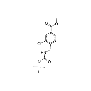 COC(=O)c1ccc(CNC(=O)OC(C)(C)C)c(Cl)c1